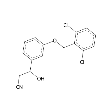 N#CCC(O)c1cccc(OCc2c(Cl)cccc2Cl)c1